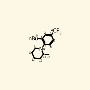 CCCCc1cc(C(F)(F)F)ccc1N1CCCC[C@@H]1C